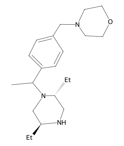 CC[C@H]1CN(C(C)c2ccc(CN3CCOCC3)cc2)[C@H](CC)CN1